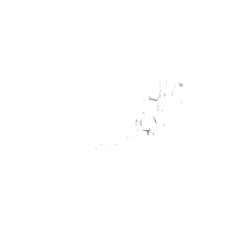 CCCCCCCCCCCCSc1ncc(N2CCC(=O)NC2=O)cn1